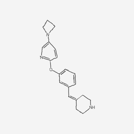 C(=C1CCNCC1)c1cccc(Oc2ccc(N3CCC3)cn2)c1